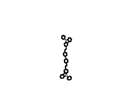 C(=Cc1ccc2c(c1)c1ccccc1n2-c1ccccc1)c1ccc(-c2ccc(C=Cc3ccc4c(c3)c3ccccc3n4-c3ccccc3)cc2)cc1